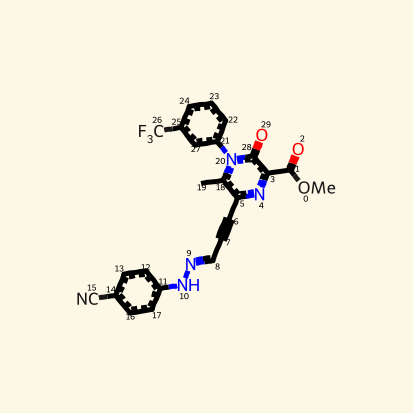 COC(=O)c1nc(C#CC=NNc2ccc(C#N)cc2)c(C)n(-c2cccc(C(F)(F)F)c2)c1=O